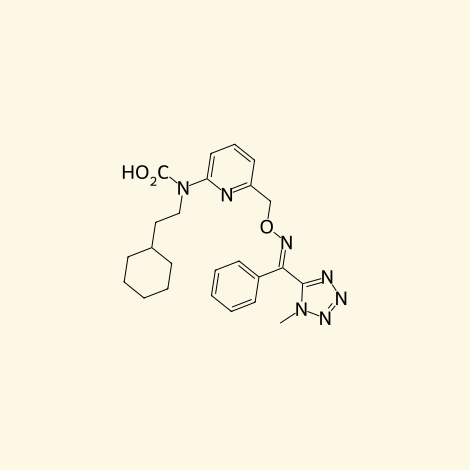 Cn1nnnc1C(=NOCc1cccc(N(CCC2CCCCC2)C(=O)O)n1)c1ccccc1